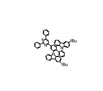 CC(C)(C)c1ccc2c(c1)c1ccccc1n2-c1ccccc1-c1ccc(-c2cc(-c3ccccc3)nc(-c3ccccc3)n2)cc1-n1c2ccccc2c2cc(C(C)(C)C)ccc21